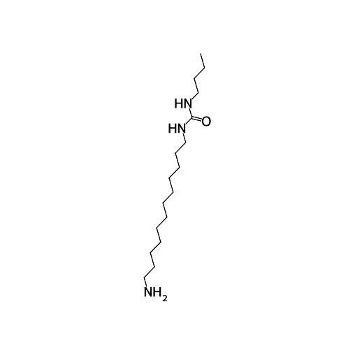 CCCCNC(=O)NCCCCCCCCCCCCN